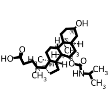 CC(C)NC(=O)O[C@H]1C[C@@H]2C[C@H](O)CC[C@]2(C)[C@H]2CC[C@]3(C)[C@@H]([C@H](C)CCC(=O)O)CC[C@H]3[C@H]12